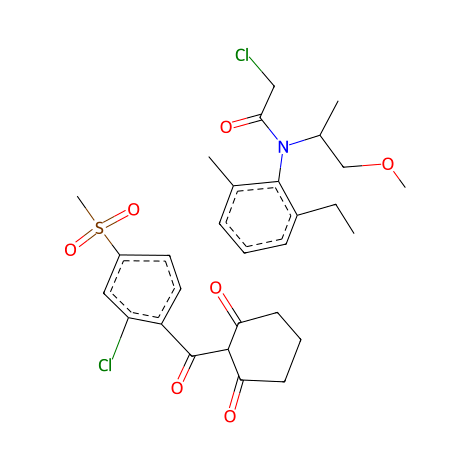 CCc1cccc(C)c1N(C(=O)CCl)C(C)COC.CS(=O)(=O)c1ccc(C(=O)C2C(=O)CCCC2=O)c(Cl)c1